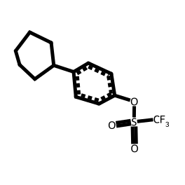 O=S(=O)(Oc1ccc([C]2CCCCC2)cc1)C(F)(F)F